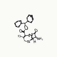 N[C@@H]1C(=O)N2C(C(=O)OC(c3ccccc3)c3ccccc3)=C(Cl)CS[C@H]12